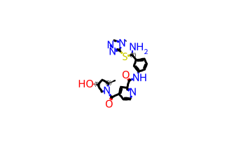 C[C@@H]1C[C@@H](O)CN1C(=O)c1ccnc(C(=O)Nc2cccc([C@H](N)Sc3nncn3C)c2)c1